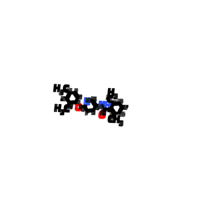 Cc1ccc(Oc2ccc(NC(=O)c3c(C)cccc3C)cn2)c(C)c1